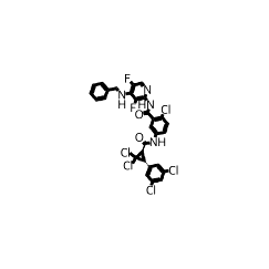 O=C(Nc1ncc(F)c(NCc2ccccc2)c1F)c1cc(NC(=O)[C@H]2[C@H](c3cc(Cl)cc(Cl)c3)C2(Cl)Cl)ccc1Cl